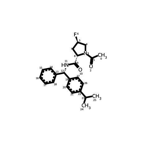 CC(=O)N1C[C@H](F)C[C@H]1C(=O)N[C@@H](c1ccccc1)c1ccc(C(C)C)cc1